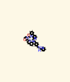 O=C(Cn1c2ccccc2c2ccnc(CN(Cc3ccc(CNCc4ccccn4)cc3)[C@H]3CCCC4=CCCN=C43)c21)N1CCOCC1